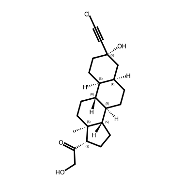 C[C@]12CC[C@H]3[C@@H](CC[C@@H]4C[C@](O)(C#CCl)CC[C@@H]43)[C@@H]1CC[C@@H]2C(=O)CO